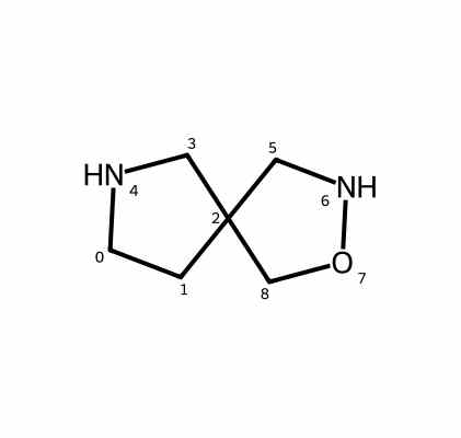 C1CC2(CN1)CNOC2